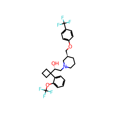 O[C@H](CN1CCC[C@H](COc2ccc(C(F)(F)F)cc2)C1)C1(c2ccccc2OC(F)(F)F)CCC1